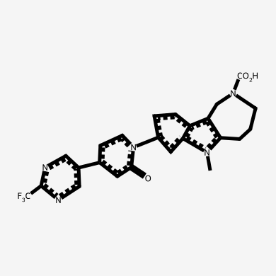 Cn1c2c(c3ccc(-n4ccc(-c5cnc(C(F)(F)F)nc5)cc4=O)cc31)CN(C(=O)O)CCC2